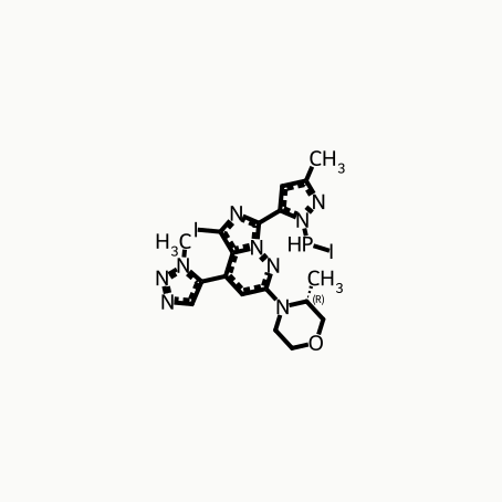 Cc1cc(-c2nc(I)c3c(-c4cnnn4C)cc(N4CCOC[C@H]4C)nn23)n(PI)n1